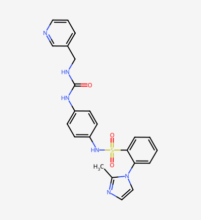 Cc1nccn1-c1ccccc1S(=O)(=O)Nc1ccc(NC(=O)NCc2cccnc2)cc1